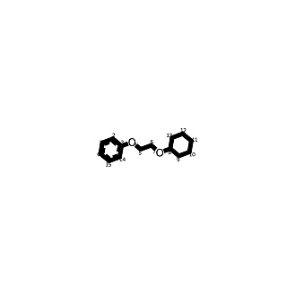 c1ccc(OCCOC2CCCCC2)cc1